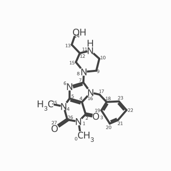 Cn1c(=O)c2c(nc(N3CCNC(CO)C3)n2Cc2ccccc2)n(C)c1=O